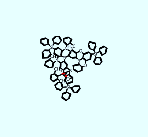 Cc1ccccc1N1c2cc3c(cc2B2c4cc5c(cc4N(c4ccccc4C)c4cc([Si](c6ccccc6)(c6ccccc6)c6ccccc6)cc1c42)N(c1c(C)cccc1C)c1cc([Si](c2ccccc2)(c2ccccc2)c2ccccc2)cc2c1B5c1ccccc1O2)B1c2ccccc2Oc2cc([Si](c4ccccc4)(c4ccccc4)c4ccccc4)cc(c21)O3